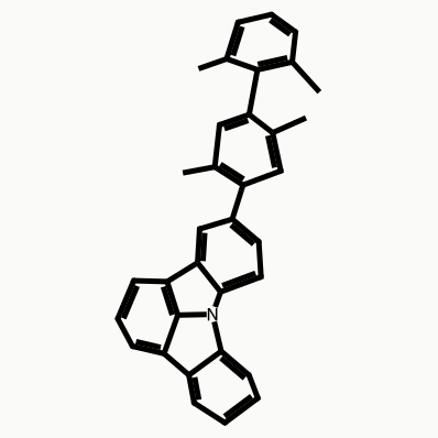 Cc1cc(-c2c(C)cccc2C)c(C)cc1-c1ccc2c(c1)c1cccc3c4ccccc4n2c31